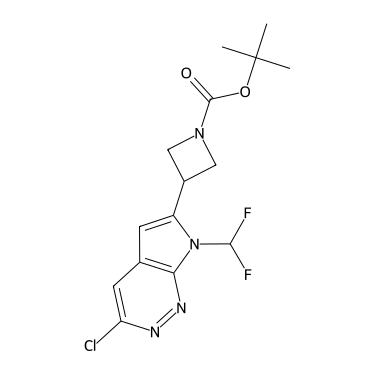 CC(C)(C)OC(=O)N1CC(c2cc3cc(Cl)nnc3n2C(F)F)C1